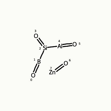 O=B[Si](=O)[Al]=[O].[O]=[Zn]